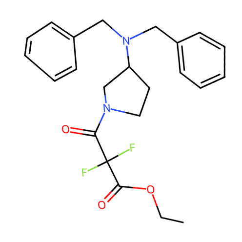 CCOC(=O)C(F)(F)C(=O)N1CCC(N(Cc2ccccc2)Cc2ccccc2)C1